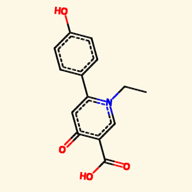 CCn1cc(C(=O)O)c(=O)cc1-c1ccc(O)cc1